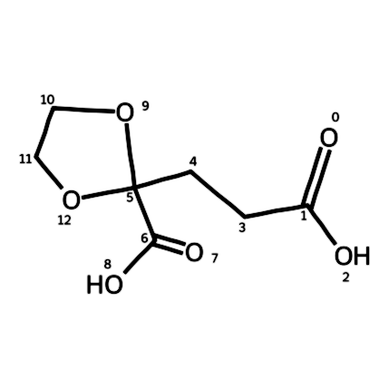 O=C(O)CCC1(C(=O)O)OCCO1